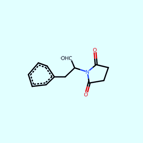 O=[C]C(Cc1ccccc1)N1C(=O)CCC1=O